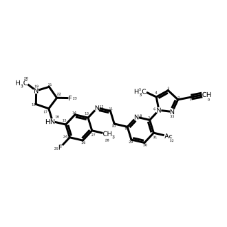 C#Cc1cc(C)n(-c2nc(C/C=N\c3cc(NC4CN(C)CC4F)c(F)cc3C)ccc2C(C)=O)n1